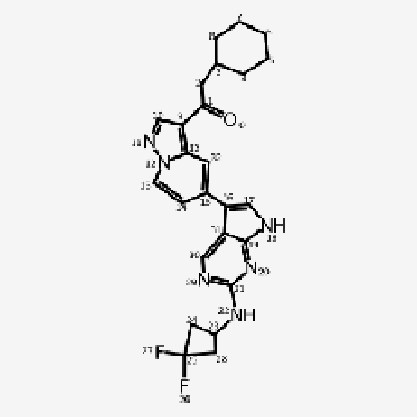 O=C(CC1CCCCC1)c1cnn2ccc(-c3c[nH]c4nc(NC5CC(F)(F)C5)ncc34)cc12